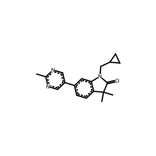 Cc1ncc(-c2ccc3c(c2)N(CC2CC2)C(=O)C3(C)C)cn1